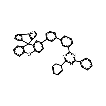 C1=CCC(c2nc(-c3ccccc3)nc(-c3cccc(-c4cccc(-c5ccc6c(c5)C5(c7ccccc7O6)c6ccccc6-c6ccccc65)c4)c3)n2)C=C1